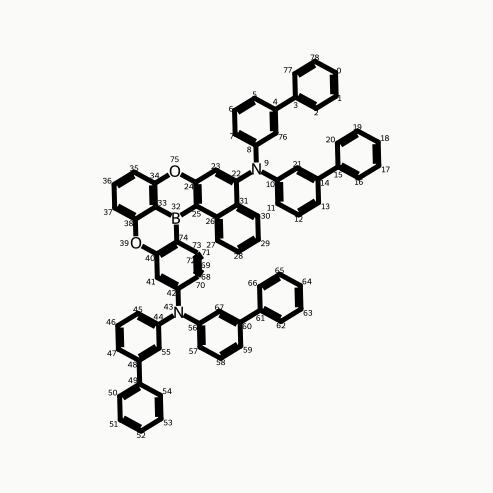 c1ccc(-c2cccc(N(c3cccc(-c4ccccc4)c3)c3cc4c(c5ccccc35)B3c5c(cccc5Oc5cc(N(c6cccc(-c7ccccc7)c6)c6cccc(-c7ccccc7)c6)c6ccccc6c53)O4)c2)cc1